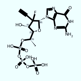 C#CC1(F)[C@@H](O)[C@@H]([C@H](C)OP(=O)(O)OP(=O)(O)OP(=O)(O)O)O[C@H]1n1cnc2c(=O)[nH]c(N)nc21